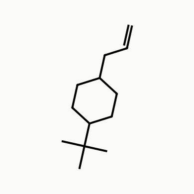 C=CCC1CCC(C(C)(C)C)CC1